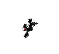 CC[C@H](C)[C@H](NC(=O)[C@H]1CCCCN1C)C(=O)N(CCCCc1cn(CC(C)=O)nn1)[C@H](C[C@@H](OC(C)=O)c1nc(C(=O)N[C@@H](Cc2ccc(NC)cc2)CC(C)(C)C(=O)O)cs1)C(C)C